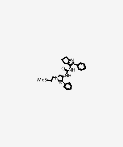 CSCCN1C[C@H](NC(=O)Nc2c3c(nn2-c2ccccc2)CCC3)[C@@H](c2ccccc2)C1